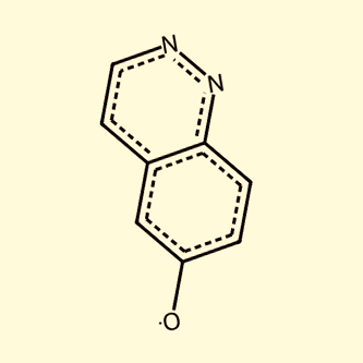 [O]c1ccc2nnccc2c1